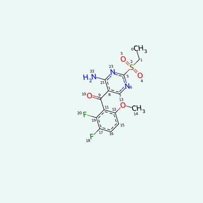 CCS(=O)(=O)c1ncc(C(=O)c2c(OC)ccc(F)c2F)c(N)n1